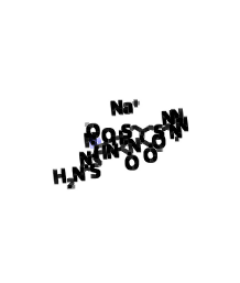 CO/N=C(\C(=O)NC1C(=O)N2C(C(=O)[O-])=C(CSc3nnnn3C)CS[C@@H]12)c1csc(N)n1.[Na+]